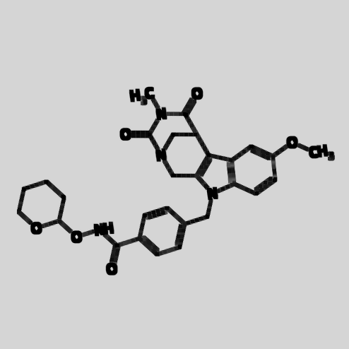 COc1ccc2c(c1)c1c(n2Cc2ccc(C(=O)NOC3CCCCO3)cc2)CN2CC1C(=O)N(C)C2=O